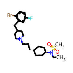 CCN([C@H]1CC[C@H](CCCN2CCC(Cc3cc(F)ccc3Br)CC2)CC1)S(C)(=O)=O